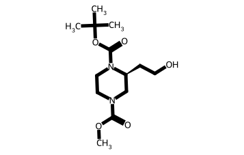 COC(=O)N1CCN(C(=O)OC(C)(C)C)[C@@H](CCO)C1